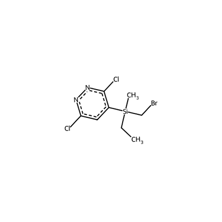 CC[Si](C)(CBr)c1cc(Cl)nnc1Cl